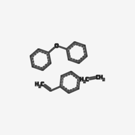 C=C.C=Cc1ccccc1.c1ccc(Oc2ccccc2)cc1